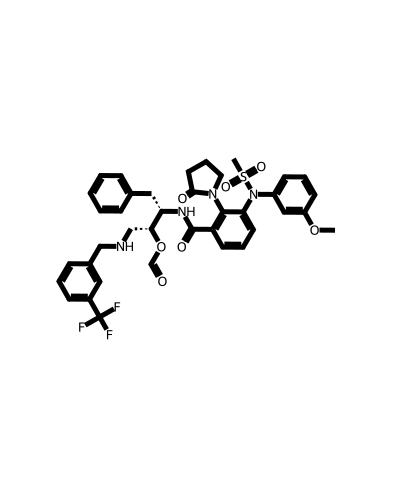 COc1cccc(N(c2cccc(C(=O)N[C@@H](Cc3ccccc3)[C@@H](CNCc3cccc(C(F)(F)F)c3)OC=O)c2N2CCCC2=O)S(C)(=O)=O)c1